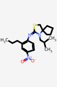 CCCc1cc([N+](=O)[O-])ccc1/N=C1/SCC2(CCCC2)N1CC(C)C